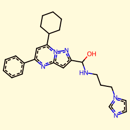 OC(NCCCn1ccnc1)c1cc2nc(-c3ccccc3)cc(C3CCCCC3)n2n1